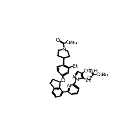 CC(C)COC(=O)Cl.CCc1cc(OC2CCc3cccc(-c4cccc(-n5ncc(C(=O)O)c5CC)n4)c32)ccc1C1CCN(C(=O)OCC(C)C)CC1